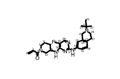 C=CC(=O)N1CCCC(Nc2nc(Nc3ccc4c(c3)CN(C(C)(C)C)CC4)ncc2F)C1